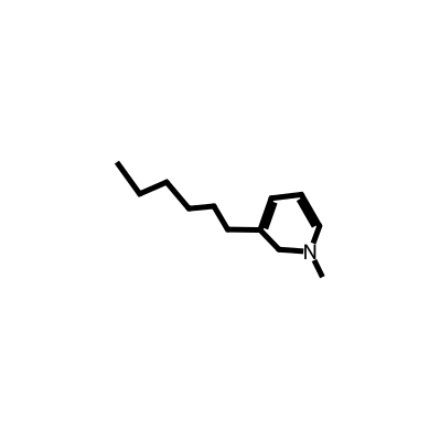 CCCCCCC1=CC=CN(C)C1